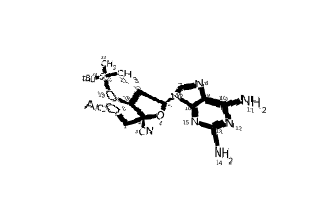 CC(=O)OC[C@@]1(C#N)O[C@H](n2cnc3c(N)nc(N)nc32)C[C@@H]1O[Si](C)(C)C(C)(C)C